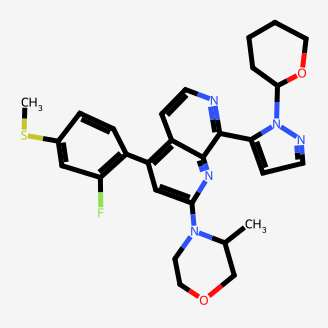 CSc1ccc(-c2cc(N3CCOCC3C)nc3c(-c4ccnn4C4CCCCO4)nccc23)c(F)c1